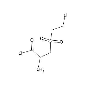 CC(CS(=O)(=O)CCCl)C(=O)Cl